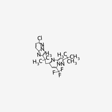 CC(C)(C)c1cc2nc(CC(C)(C)c3cn4nc(Cl)ccc4n3)cc(C(F)(F)F)n2n1